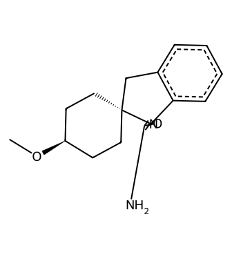 CO[C@H]1CC[C@]2(CC1)Cc1ccccc1C21COC(N)=N1